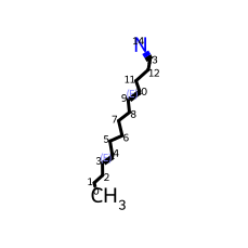 CCC/C=C/CCCC/C=C/CCC#N